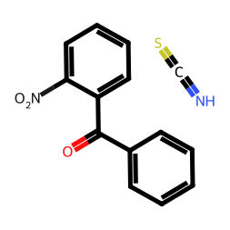 N=C=S.O=C(c1ccccc1)c1ccccc1[N+](=O)[O-]